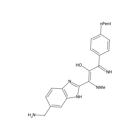 CCCCCc1ccc(C(=N)/C(O)=C(\NC)c2nc3ccc(CN)cc3[nH]2)cc1